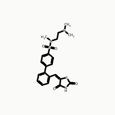 CN(C)CCN(C)S(=O)(=O)c1ccc(-c2ccccc2C=C2SC(=O)NC2=O)cc1